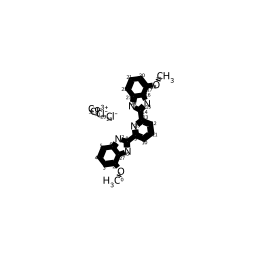 COC1=CC=CC2=NC(c3cccc(C4=NC5C(OC)=CC=CC5=N4)n3)=NC12.[Cl-].[Cl-].[Cl-].[Co+3]